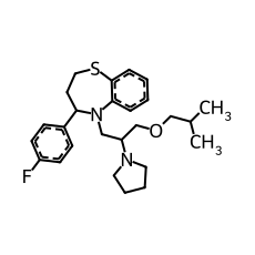 CC(C)COCC(CN1c2ccccc2SCCC1c1ccc(F)cc1)N1CCCC1